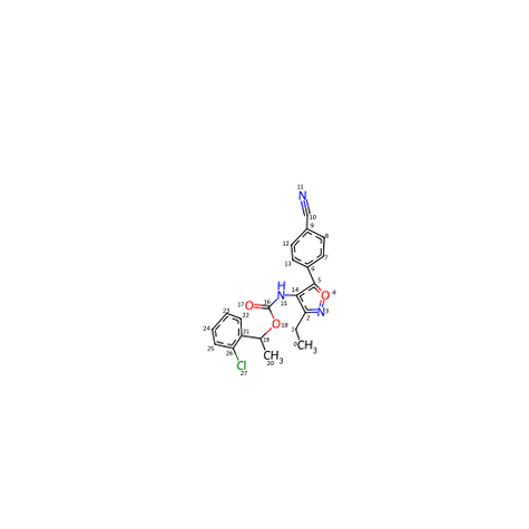 CCc1noc(-c2ccc(C#N)cc2)c1NC(=O)OC(C)c1ccccc1Cl